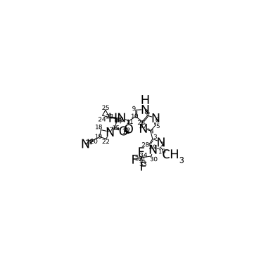 Cc1nc(-c2cnc3[nH]cc(C(=O)N[C@@H](C(=O)N4CC(C#N)C4)C4CC4)c3n2)cn1CC(F)(F)F